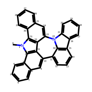 Cn1c2c3ccccc3cc3c4cccc5c6ccccc6n(c6cc7ccccc7c1c6c32)c45